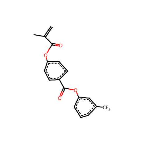 C=C(C)C(=O)Oc1ccc(C(=O)Oc2cccc(C(F)(F)F)c2)cc1